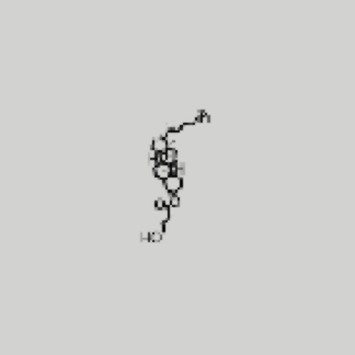 CC(C)CCC[C@@H](C)[C@H]1CC[C@H]2[C@@H]3CC=C4C[C@@H](OC(=O)CCCO)CC[C@]4(C)[C@H]3CC[C@]12C